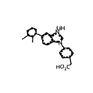 Cc1cccc(-c2ccc3c(c2)ncn3-c2ccc(CC(=O)O)cc2)c1C.[LiH]